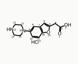 Cl.O=C(O)Cc1cc2cc(N3CCNCC3)ccc2o1